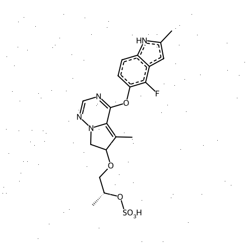 CC1=C2C(Oc3ccc4[nH]c(C)cc4c3F)=NC=NN2CC1OC[C@@H](C)OS(=O)(=O)O